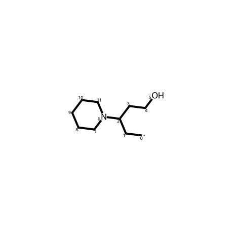 [CH2]CC(CCO)N1CCCCC1